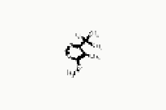 COc1ncnc(C(C)(C)C)c1C